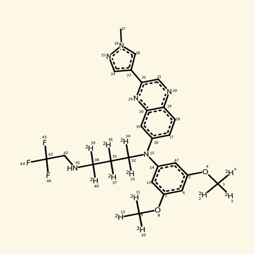 [2H]C([2H])([2H])Oc1cc(OC([2H])([2H])[2H])cc(N(c2ccc3ncc(-c4cnn(C)c4)nc3c2)C([2H])([2H])C([2H])([2H])C([2H])([2H])NCC(F)(F)F)c1